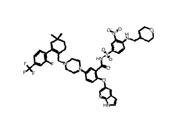 CC1(C)CCC(CN2CCN(c3ccc(Oc4cnc5[nH]ccc5c4)c(C(=O)NS(=O)(=O)c4ccc(NCC5CCOCC5)c([N+](=O)[O-])c4)c3)CC2)=C(c2ccc(C(F)(F)F)cc2F)C1